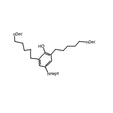 CCCCCCCCCCCCCCCc1cc(CCCCCCC)cc(CCCCCCCCCCCCCCC)c1O